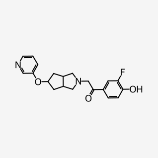 O=C(CN1CC2CC(Oc3cccnc3)CC2C1)c1ccc(O)c(F)c1